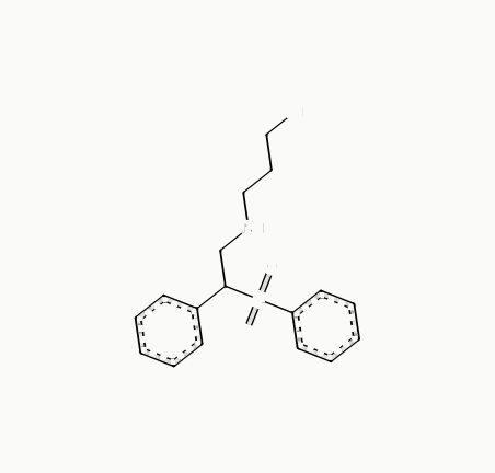 O=S(=O)(c1ccccc1)C(CNCCCO)c1ccccc1